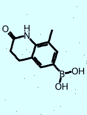 Cc1cc(B(O)O)cc2c1NC(=O)CC2